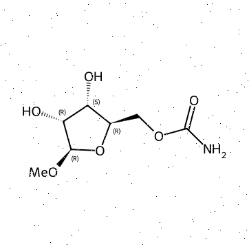 CO[C@@H]1O[C@H](COC(N)=O)[C@@H](O)[C@H]1O